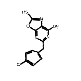 Oc1nc(Cc2ccc(Cl)cc2)nc2oc(S)nc12